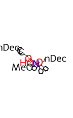 CCCCCCCCCCCCCCCCOCC(O)CN(CCOC)C(=O)C(c1ccccc1)(c1ccccc1)C(CCCCCCCCCCCCC)c1ccccc1